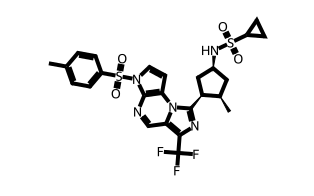 Cc1ccc(S(=O)(=O)n2ccc3c2ncc2c(C(F)(F)F)nc([C@H]4C[C@@H](NS(=O)(=O)C5CC5)C[C@H]4C)n23)cc1